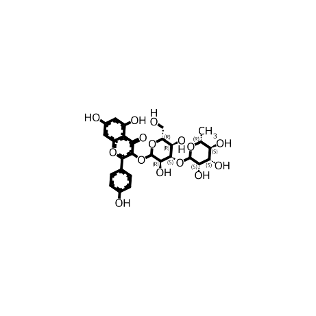 C[C@H]1OC(O[C@H]2[C@H](O)[C@@H](CO)OC(Oc3c(-c4ccc(O)cc4)oc4cc(O)cc(O)c4c3=O)[C@@H]2O)[C@@H](O)[C@@H](O)[C@@H]1O